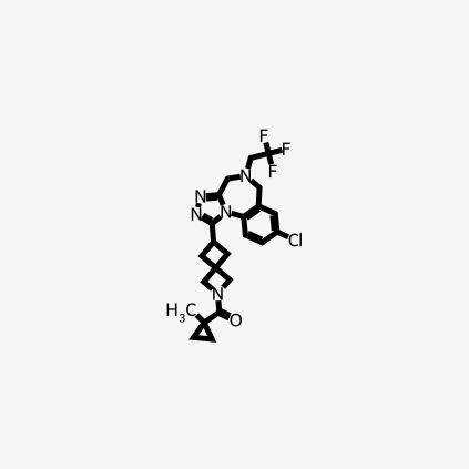 CC1(C(=O)N2CC3(CC(c4nnc5n4-c4ccc(Cl)cc4CN(CC(F)(F)F)C5)C3)C2)CC1